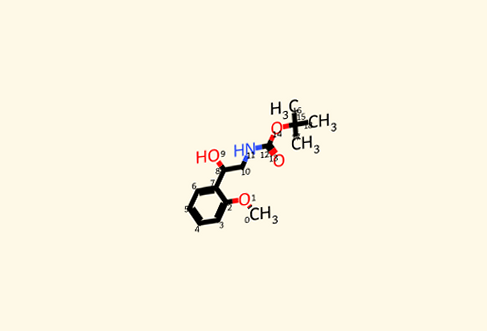 COc1ccccc1C(O)CNC(=O)OC(C)(C)C